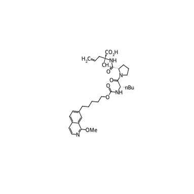 C=CC[C@@](C)(NC(=O)[C@@H]1CCCN1C(=O)[C@H](CCCC)NC(=O)OCCCCCc1ccc2ccnc(OC)c2c1)C(=O)O